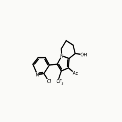 CC(=O)c1c(C(F)(F)F)c(-c2cccnc2Cl)n2c1C(O)CCC2